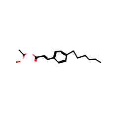 CCCCCCc1ccc(C=CC(=O)OC(C)OC)cc1